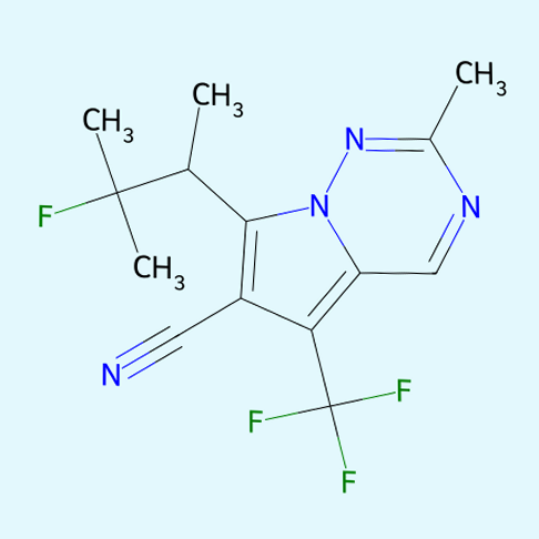 Cc1ncc2c(C(F)(F)F)c(C#N)c(C(C)C(C)(C)F)n2n1